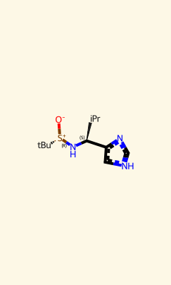 CC(C)[C@H](N[S@@+]([O-])C(C)(C)C)c1c[nH]cn1